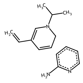 C=CC1=CN(C(C)C)CC=C1.Nc1ccccn1